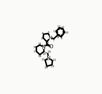 O=C(C1CCCN1Cc1ccccc1)N1CCCC[C@H]1CN1CCCC1